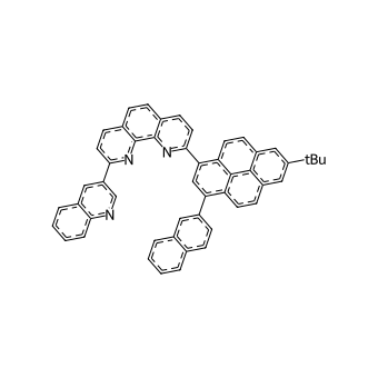 CC(C)(C)c1cc2ccc3c(-c4ccc5ccccc5c4)cc(-c4ccc5ccc6ccc(-c7cnc8ccccc8c7)nc6c5n4)c4ccc(c1)c2c34